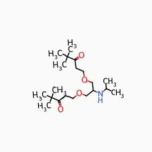 CC(C)NC(COCCC(=O)C(C)(C)C)COCCC(=O)C(C)(C)C